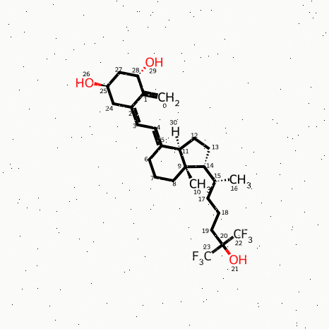 C=C1C(=CC=C2CCC[C@]3(C)[C@@H]2CC[C@@H]3[C@H](C)CCCC(O)(C(F)(F)F)C(F)(F)F)C[C@@H](O)C[C@@H]1O